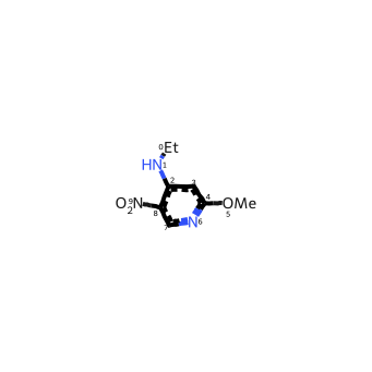 CCNc1cc(OC)ncc1[N+](=O)[O-]